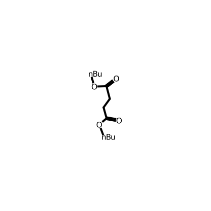 CCCCOC(=O)CCC(=O)OCCCC